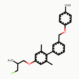 CC(=O)OC(CF)COc1cc(C)c(-c2cccc(COc3ccc(C=O)cc3)c2)c(C)c1